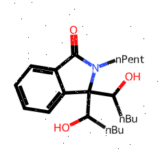 CCCCCN1C(=O)c2ccccc2C1(C(O)CCCC)C(O)CCCC